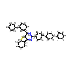 c1ccc(-c2ccc(-c3ccc(-c4nc(-c5cccc(-c6ccccc6)c5)c5sc6ccccc6c5n4)cc3)cc2)cc1